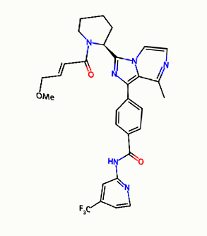 COC/C=C/C(=O)N1CCCC[C@H]1c1nc(-c2ccc(C(=O)Nc3cc(C(F)(F)F)ccn3)cc2)c2c(C)nccn12